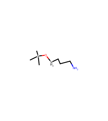 C[Si](C)(C)O[SiH2]CCCN